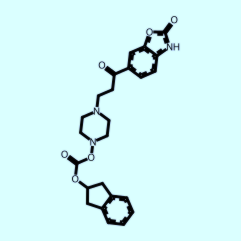 O=C(OC1Cc2ccccc2C1)ON1CCN(CCC(=O)c2ccc3[nH]c(=O)oc3c2)CC1